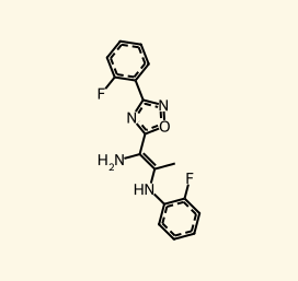 C/C(Nc1ccccc1F)=C(/N)c1nc(-c2ccccc2F)no1